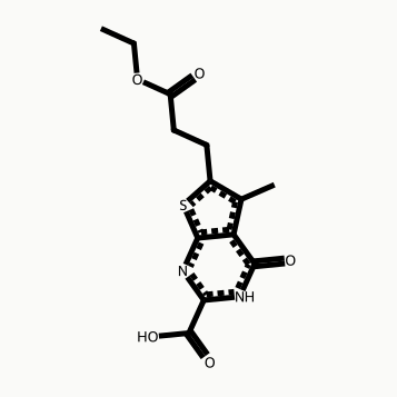 CCOC(=O)CCc1sc2nc(C(=O)O)[nH]c(=O)c2c1C